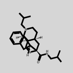 CC(C)CNC(=O)[C@@]12C[C@@H]3CCN(CC(C)C)[C@@H]([C@@H]3C=N1)[C@H]2Cc1ccccc1